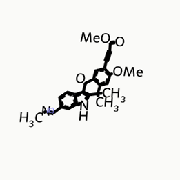 C/N=C/c1ccc2c3c([nH]c2c1)C(C)(C)c1cc(OC)c(C#CC(=O)OC)cc1C3=O